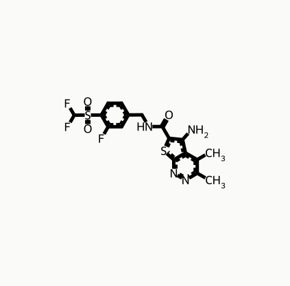 Cc1nnc2sc(C(=O)NCc3ccc(S(=O)(=O)C(F)F)c(F)c3)c(N)c2c1C